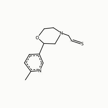 Cc1ccc(C2CN(C[C]=S)CCO2)cn1